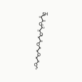 COCCOCCOCCOCCOCCS